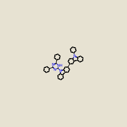 c1ccc(C2=NC(n3c4ccccc4c4ccc(-c5ccc6c(c5)c5ccccc5n6-c5ccccc5)cc43)NC(c3ccccc3)=N2)cc1